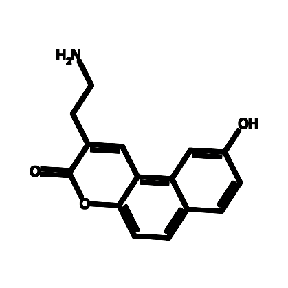 NCCc1cc2c(ccc3ccc(O)cc32)oc1=O